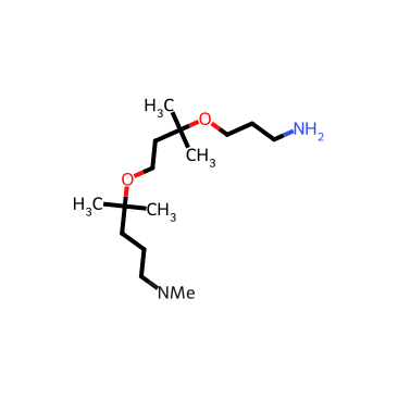 CNCCCC(C)(C)OCCC(C)(C)OCCCN